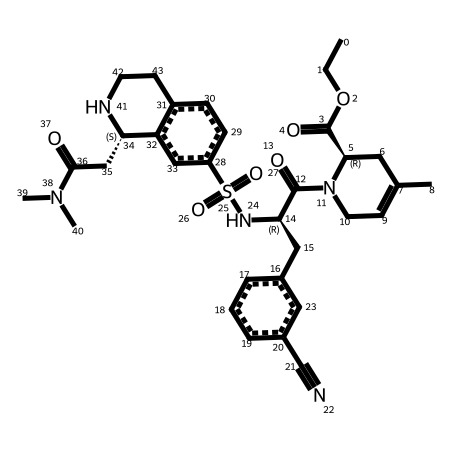 CCOC(=O)[C@H]1CC(C)=CCN1C(=O)[C@@H](Cc1cccc(C#N)c1)NS(=O)(=O)c1ccc2c(c1)[C@H](CC(=O)N(C)C)NCC2